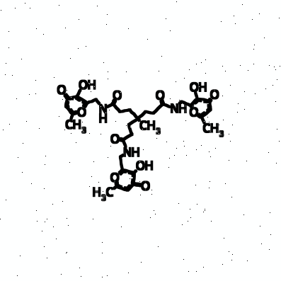 Cc1cc(=O)c(O)c(CNC(=O)CCC(C)(CCC(=O)NCc2oc(C)cc(=O)c2O)CCC(=O)NCc2oc(C)cc(=O)c2O)o1